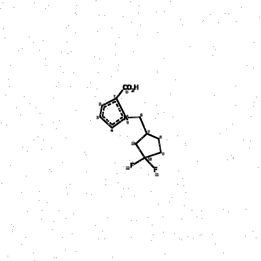 O=C(O)c1cccn1CC1CCC(F)(F)C1